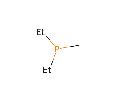 [CH2]CP(C)CC